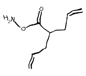 C=CCC(CC=C)C(=O)ON